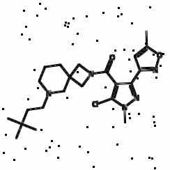 Cc1cc(-c2nn(C)c(Cl)c2C(=O)N2CC3(CCCN(CCC(C)(C)C)C3)C2)no1